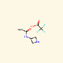 CNC(=O)NC1CNC1.O=C(O)C(F)(F)F